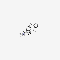 C=C(C)/N=C(\C)c1nnc2n1CCN(C(=C)c1ccc(C)cc1)C2CCC